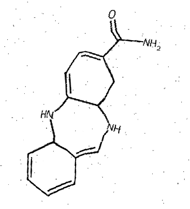 NC(=O)C1=CC=C2NC3C=CC=CC3=CNC2C1